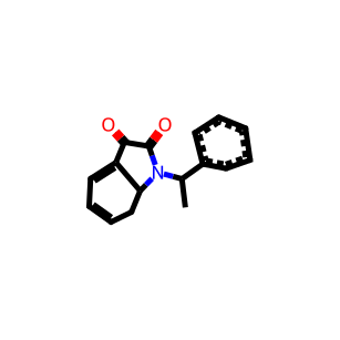 CC(c1ccccc1)N1C(=O)C(=O)C2=CC=CCC21